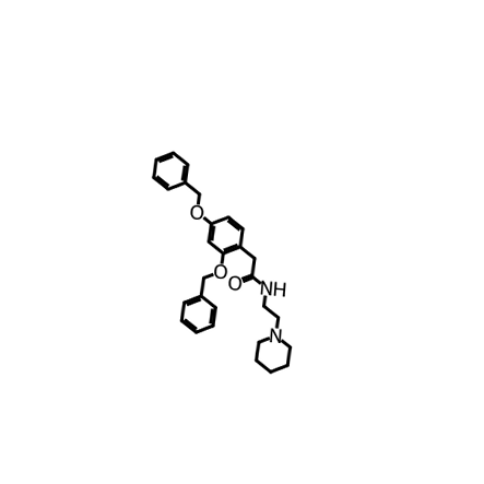 O=C(Cc1ccc(OCc2ccccc2)cc1OCc1ccccc1)NCCN1CCCCC1